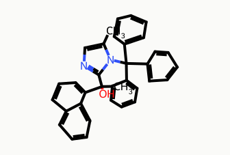 Cc1cnc(C(C)(O)c2cccc3ccccc23)n1C(c1ccccc1)(c1ccccc1)c1ccccc1